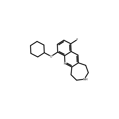 Fc1ccc(OC2CCCCC2)c2nc3c(cc12)CCNCC3